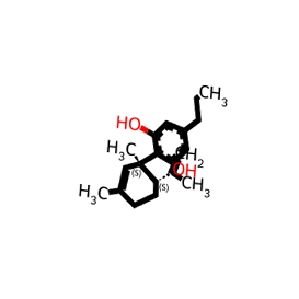 C=C(C)[C@@H]1CCC(C)=C[C@@]1(C)c1c(O)cc(CCC)cc1O